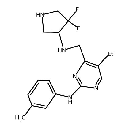 CCc1cnc(Nc2cccc(C)c2)nc1CNC1CNCC1(F)F